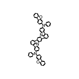 c1ccc(N(c2ccc3c(c2)oc2ccccc23)c2ccc3c(c2)c2cccc4c5cc6c(cc5n3c24)c2cccc3c4cc(N(c5ccccc5)c5ccc7c(c5)oc5ccccc57)ccc4n6c32)cc1